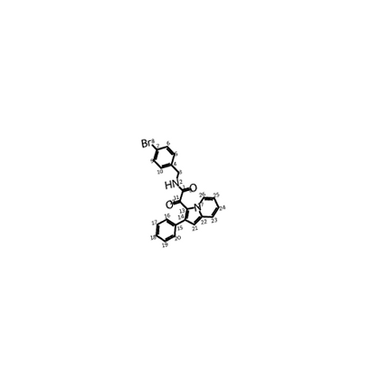 O=C(NCc1ccc(Br)cc1)C(=O)c1c(-c2ccccc2)cc2ccccn12